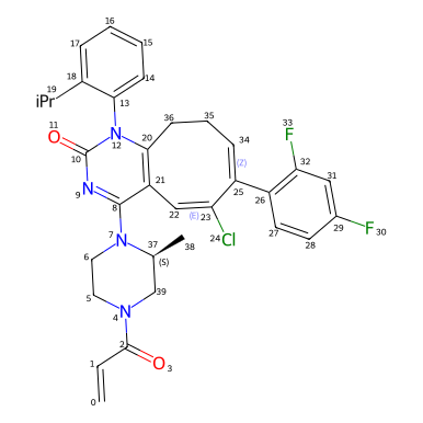 C=CC(=O)N1CCN(c2nc(=O)n(-c3ccccc3C(C)C)c3c2/C=C(Cl)\C(c2ccc(F)cc2F)=C/CC3)[C@@H](C)C1